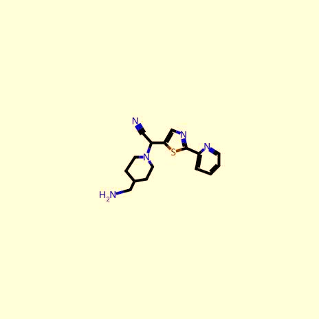 N#CC(c1cnc(-c2ccccn2)s1)N1CCC(CN)CC1